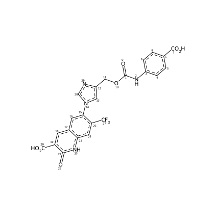 O=C(Nc1ccc(C(=O)O)cc1)OCc1cn(-c2cc3cc(C(=O)O)c(=O)[nH]c3cc2C(F)(F)F)cn1